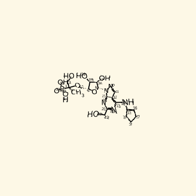 C[C@@](CO)(OC[C@H]1O[C@@H](n2ncc3c(NC4CCCC4)nc(CO)nc32)[C@H](O)[C@@H]1O)P(=O)(O)O